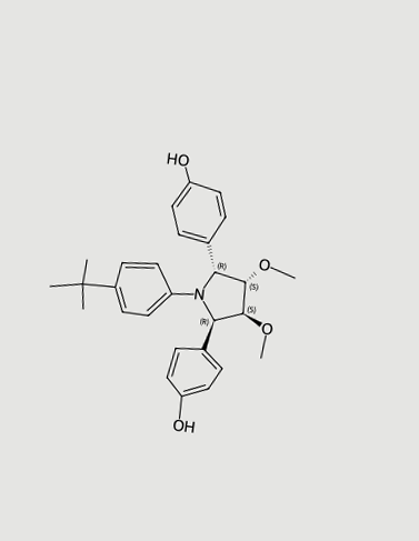 CO[C@@H]1[C@@H](OC)[C@@H](c2ccc(O)cc2)N(c2ccc(C(C)(C)C)cc2)[C@@H]1c1ccc(O)cc1